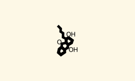 CCCCCc1c(O)ccc2c1C(=O)c1ccccc1C2O